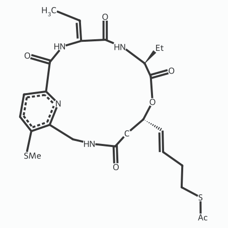 C/C=C1\NC(=O)c2ccc(SC)c(n2)CNC(=O)C[C@@H](/C=C/CCSC(C)=O)OC(=O)[C@H](CC)NC1=O